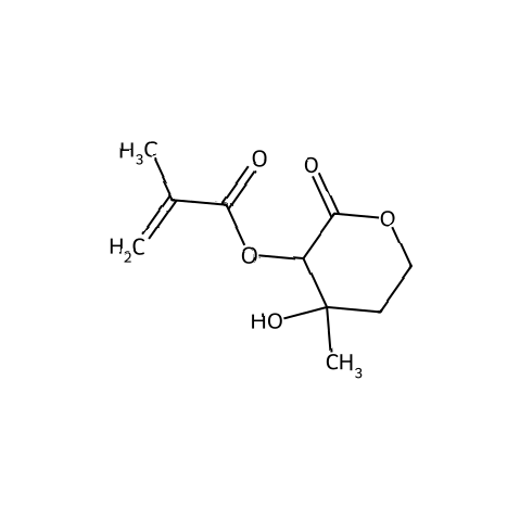 C=C(C)C(=O)OC1C(=O)OCCC1(C)O